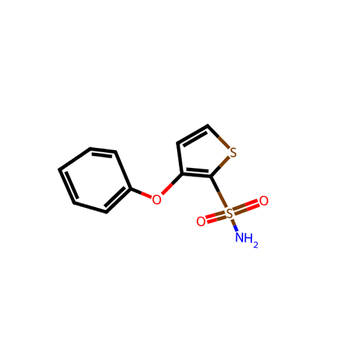 NS(=O)(=O)c1sccc1Oc1ccccc1